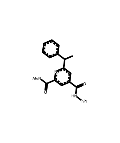 CCCNC(=O)c1cc(C(=O)NC)nc(C(C)c2ccccc2)c1